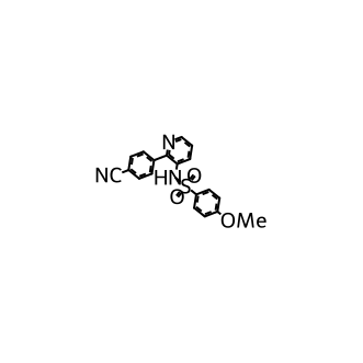 COc1ccc(S(=O)(=O)Nc2cccnc2-c2ccc(C#N)cc2)cc1